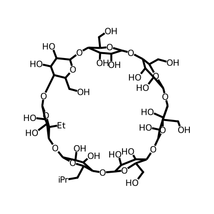 CCC1OC2OC3C(CO)OC(OC4C(CO)OC(OC5C(CO)OC(OC6C(CO)OC(OC7C(CO)OC(OC8C(CC(C)C)OC(OC1C(O)C2O)C(O)C8O)C(O)C7O)C(O)C6O)C(O)C5O)C(O)C4O)C(O)C3O